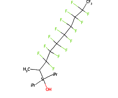 CC(C)[Si](O)(C(C)C)C(C)C(F)(F)C(F)(F)C(F)(F)C(F)(F)C(F)(F)C(F)(F)C(F)(F)C(F)(F)F